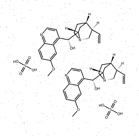 C=C[C@H]1C[N@]2CC[C@H]1C[C@H]2[C@H](O)c1ccnc2ccc(OC)cc12.C=C[C@H]1C[N@]2CC[C@H]1C[C@H]2[C@H](O)c1ccnc2ccc(OC)cc12.O=S(=O)(O)O.O=S(=O)(O)O